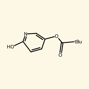 CC(C)(C)C(=O)Oc1ccc(O)nc1